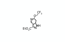 CCOC(=O)c1n[nH]c2cc(OCC(F)(F)F)ncc12